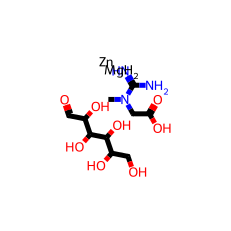 CN(CC(=O)O)C(=N)N.O=CC(O)C(O)C(O)C(O)CO.[MgH2].[Zn]